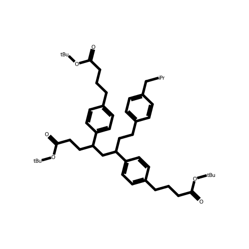 CC(C)Cc1ccc(CCC(CC(CCC(=O)OC(C)(C)C)c2ccc(CCCC(=O)OC(C)(C)C)cc2)c2ccc(CCCC(=O)OC(C)(C)C)cc2)cc1